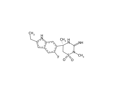 CCc1cc2cc(F)c([C@]3(C)CS(=O)(=O)N(C)C(=N)N3)cc2[nH]1